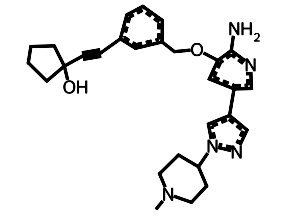 CN1CCC(n2cc(-c3cnc(N)c(OCc4cccc(C#CC5(O)CCCC5)c4)c3)cn2)CC1